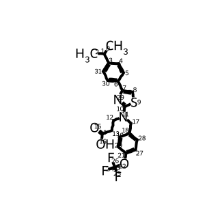 CC(C)c1ccc(-c2csc(N(CCC(=O)O)Cc3ccc(OC(F)(F)F)cc3)n2)cc1